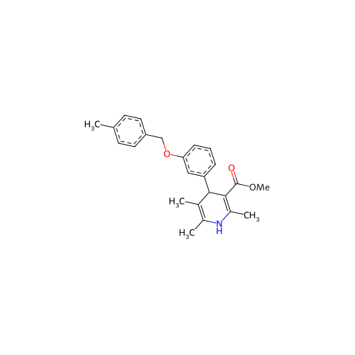 COC(=O)C1=C(C)NC(C)=C(C)C1c1cccc(OCc2ccc(C)cc2)c1